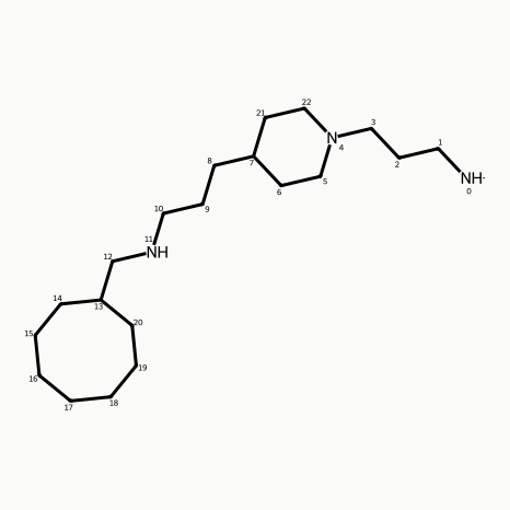 [NH]CCCN1CCC(CCCNCC2CCCCCCC2)CC1